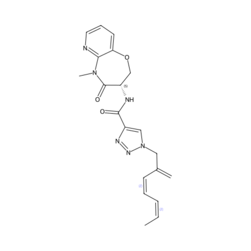 C=C(/C=C\C=C/C)Cn1cc(C(=O)N[C@H]2COc3cccnc3N(C)C2=O)nn1